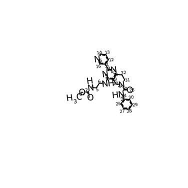 COC(=O)NCCNc1nc(-c2cccnc2)nc2c1CN(C(=O)Nc1ccccc1)CC2